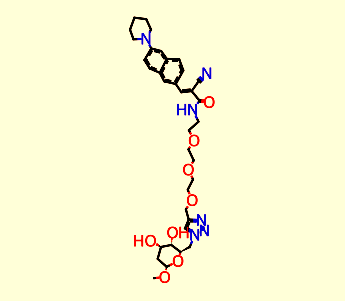 CO[C@@H]1C[C@@H](O)[C@H](O)[C@@H](Cn2cc(COCCOCCOCCNC(=O)/C(C#N)=C/c3ccc4cc(N5CCCCC5)ccc4c3)nn2)O1